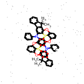 CC1(C)c2ccccc2-c2cc3c4c(c21)Oc1cccc2c1S4(c1ccccc1)c1c(c4c5c(c1N3c1ccccc1)Oc1cccc3c1S5(c1ccccc1)c1c(cc5c(c1O3)C(C)(C)c1ccccc1-5)N4c1ccccc1)O2